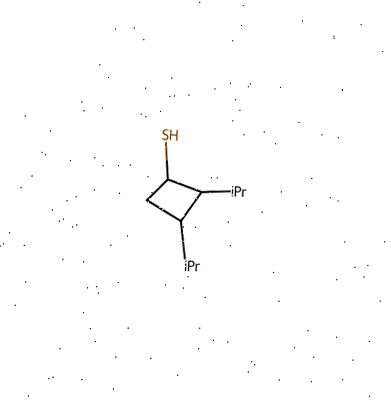 CC(C)C1CC(S)C1C(C)C